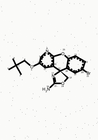 CC(C)(C)COc1cnc2c(c1)[C@]1(COC(N)=N1)c1cc(Br)ccc1O2